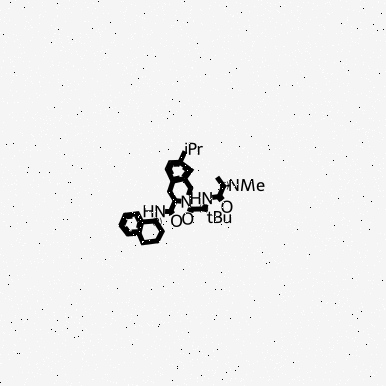 CN[C@@H](C)C(=O)N[C@H](C(=O)N1Cc2cc(C(C)C)ccc2CC1C(=O)N[C@@H]1CCCc2ccccc21)C(C)(C)C